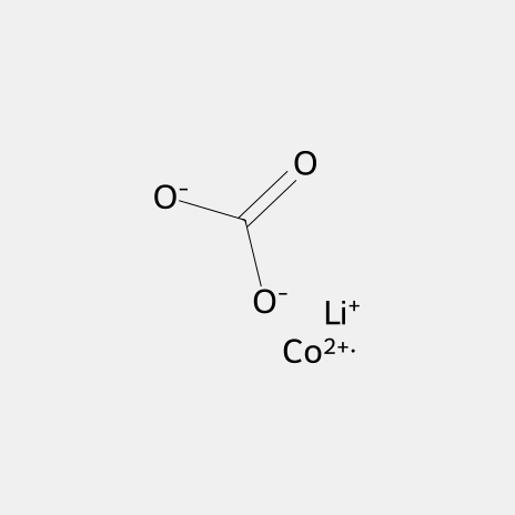 O=C([O-])[O-].[Co+2].[Li+]